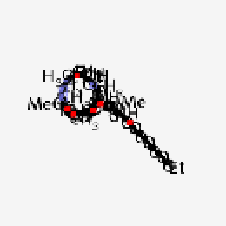 CCOCCOCCOCCOCCOCCOCCOCCNC(=O)O[C@@H]1CC[C@@H](C[C@@H](N)[C@@H]2CC(=O)C(C)/C=C(\C)[C@@H](O)[C@@H](O)C(=O)C(C)C[C@H](C)/C=C/C=C/C=C(\C)[C@@H](OC)C[C@@H]3CC[C@@H](C)[C@@](O)(O3)C(=O)C(=O)N3CCCCC3C(=O)O2)C[C@H]1OC